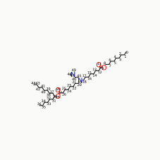 CCCCCCCCCOC(=O)CCCCCCCN(CCCCCCCC(=O)OC(CCCCCC)CCCCCCCC)CCN(C)C